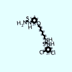 NC(=S)Nc1cccc(OCCCCCCCNC(=S)Nc2cc(Cl)cc(Cl)c2)c1